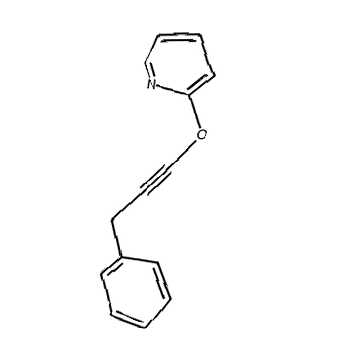 C(#COc1ccccn1)Cc1ccccc1